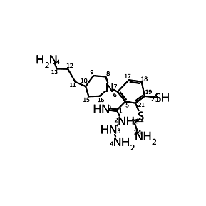 N=C(NNN)c1c(N2CCC(CCCN)CC2)ccc(S)c1SCN